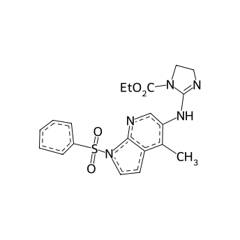 CCOC(=O)N1CCN=C1Nc1cnc2c(ccn2S(=O)(=O)c2ccccc2)c1C